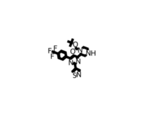 CC(C)(C)OC(=O)N1CCNCC1c1cc(-c2ccc(C(F)(F)F)cc2)nc(-c2cnsc2)n1